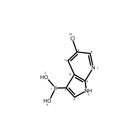 OB(O)c1c[nH]c2ncc(Cl)cc12